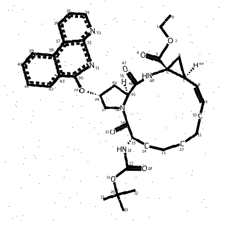 CCOC(=O)[C@@]12C[C@H]1/C=C\CCCCC[C@H](NC(=O)OC(C)(C)C)C(=O)N1C[C@H](Oc3nc4ncccc4c4ccccc34)C[C@H]1C(=O)N2